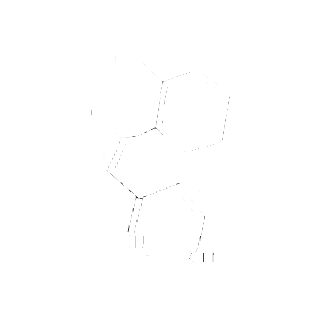 C=C(/C=C\C)/C=C(/I)C1=C(C)C=CCC1